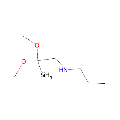 CCCNCC([SiH3])(OC)OC